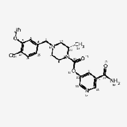 CC(C)Oc1cc(CN2CCN(C(=O)Oc3cncc(C(N)=O)c3)[C@@H](C)C2)ccc1Cl